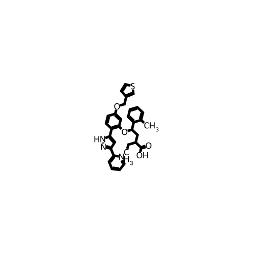 CCC(CC(Oc1cc(OCc2ccsc2)ccc1-c1cc(-c2ccccn2)n[nH]1)c1ccccc1C)C(=O)O